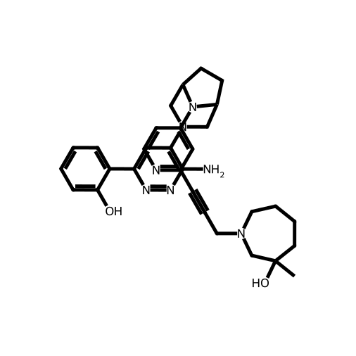 CC1(O)CCCCN(CC#Cc2cc(N3C4CCC3CN(c3cc(-c5ccccc5O)nnc3N)C4)ccn2)C1